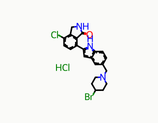 Cl.O=C1NCc2c(Cl)ccc(-c3cc4cc(CN5CCC(Br)CC5)ccc4[nH]3)c21